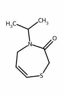 CC(C)N1CC=CSCC1=O